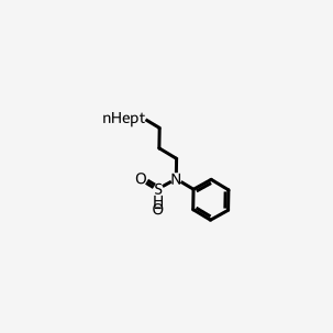 CCCCCCCCCCN(c1ccccc1)[SH](=O)=O